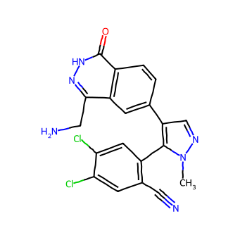 Cn1ncc(-c2ccc3c(=O)[nH]nc(CN)c3c2)c1-c1cc(Cl)c(Cl)cc1C#N